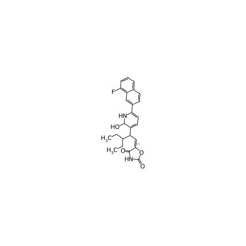 CCC(CC)C(/C=C1/OC(=O)NC1=O)C1=CC=C(c2ccc3cccc(F)c3c2)NC1O